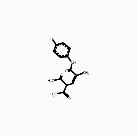 CC(=O)C(/C=C(/C)C(=O)Nc1ccc(Cl)cc1)C(C)=S